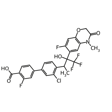 CC(c1ccc(-c2ccc(C(=O)O)c(F)c2)cc1Cl)C(O)(c1cc2c(cc1F)OCC(=O)N2C)C(F)(F)F